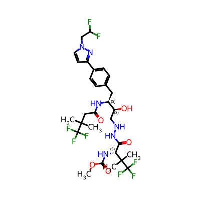 COC(=O)N[C@H](C(=O)NNC[C@H](O)[C@H](Cc1ccc(-c2ccn(CC(F)F)n2)cc1)NC(=O)[CH]C(C)(C)C(F)(F)F)C(C)(C)C(F)(F)F